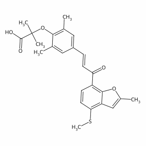 CSc1ccc(C(=O)C=Cc2cc(C)c(OC(C)(C)C(=O)O)c(C)c2)c2oc(C)cc12